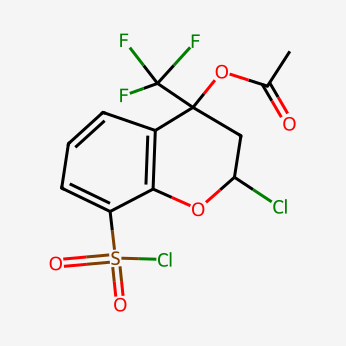 CC(=O)OC1(C(F)(F)F)CC(Cl)Oc2c1cccc2S(=O)(=O)Cl